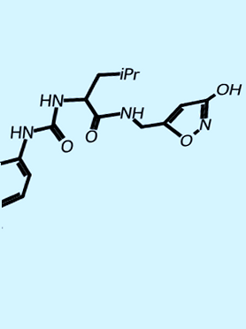 CC(C)CC(NC(=O)Nc1ccc(Br)cc1)C(=O)NCc1cc(O)no1